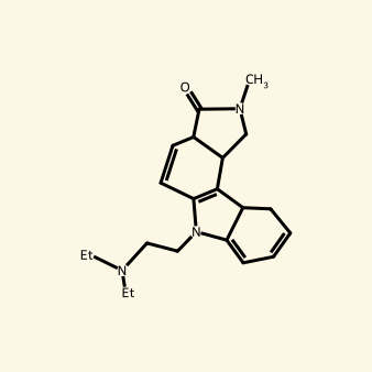 CCN(CC)CCN1C2=CC=CCC2C2=C1C=CC1C(=O)N(C)CC21